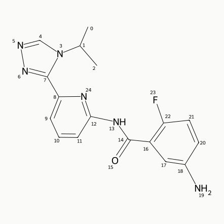 CC(C)n1cnnc1-c1cccc(NC(=O)c2cc(N)ccc2F)n1